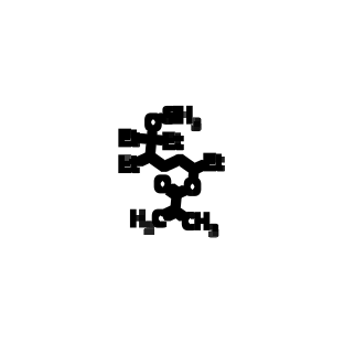 C=C(C)C(=O)OC(CC)CCC(CC)C(CC)(CC)O[SiH3]